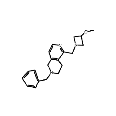 COC1CN(Cc2nccc3c2CCN(Cc2ccccc2)C3)C1